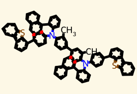 Cc1cc(-c2ccc(N(c3ccc(-c4cccc5c4sc4ccccc45)cc3)c3ccccc3-c3cccc4ccccc34)c(C)c2)ccc1N(c1ccc(-c2cccc3c2sc2ccccc23)cc1)c1ccccc1-c1cccc2ccccc12